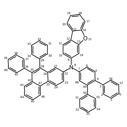 c1ccc(-c2ccc(N(c3ccc4c(c3)oc3ccccc34)c3ccc4c(c3)c(-c3ccccc3)c(-c3ccccc3)c3ccccc34)cc2-c2ccccc2)cc1